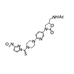 CC(=O)NCC1CN(c2ccc(N3CCN(C(=S)n4ccc([N+](=O)[O-])n4)CC3)nc2)C(=O)O1